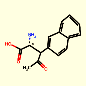 CC(=O)C(c1ccc2ccccc2c1)[C@@H](N)C(=O)O